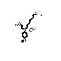 CCCCCCCN(CCO)c1ccc(N=O)cc1.Cl